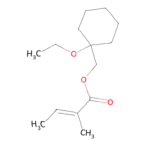 CC=C(C)C(=O)OCC1(OCC)CCCCC1